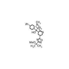 COC(C)(C)c1noc(-c2cncc([C@@](O)(c3ccc(C(C)C)cc3)C3(C)CN(C)C3)c2)n1